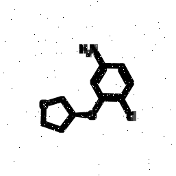 Nc1ccc(Cl)c(O[C@H]2CCOC2)c1